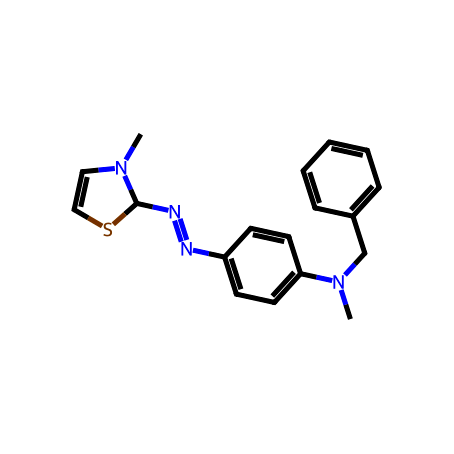 CN(Cc1ccccc1)c1ccc(N=NC2SC=CN2C)cc1